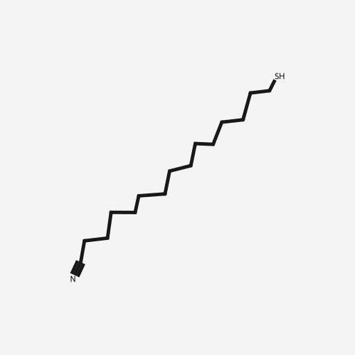 N#CCCCCCCCCCCCCCCS